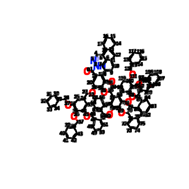 O=C(N/N=C\c1c2ccccc2cc2ccccc12)c1cc(OCc2cc(OCc3ccccc3)c(OCc3ccccc3)c(OCc3ccccc3)c2)c(OCc2cc(OCc3ccccc3)c(OCc3ccccc3)c(OCc3ccccc3)c2)c(OCc2cc(OCc3ccccc3)c(OCc3ccccc3)c(OCc3ccccc3)c2)c1